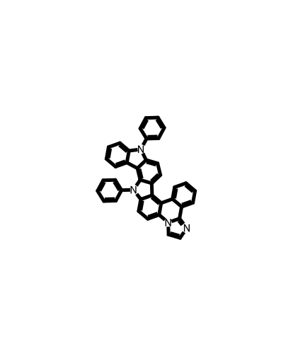 c1ccc(-n2c3ccccc3c3c2ccc2c4c5c6ccccc6c6nccn6c5ccc4n(-c4ccccc4)c23)cc1